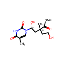 COC(=O)[C@](C)(CCO)C[C@@H](O)n1cc(C)c(=O)[nH]c1=O